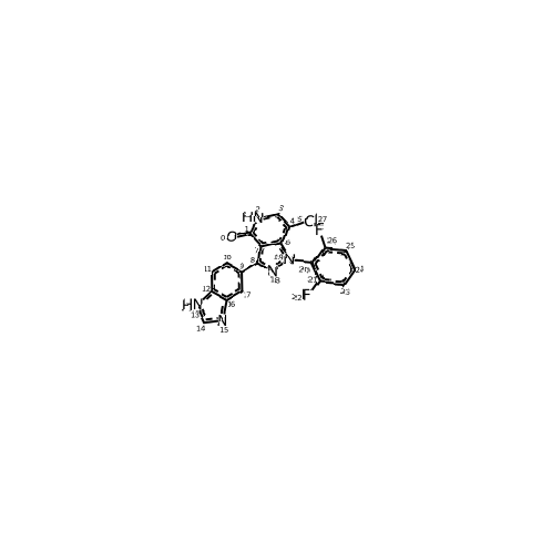 O=c1[nH]cc(Cl)c2c1c(-c1ccc3[nH]cnc3c1)nn2-c1c(F)cccc1F